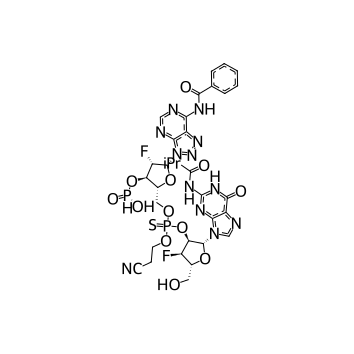 CC(C)C(=O)Nc1nc2c(ncn2[C@@H]2O[C@H](CO)[C@@H](F)[C@H]2OP(=S)(OCCC#N)OC[C@H]2O[C@@H](n3nnc4c(NC(=O)c5ccccc5)ncnc43)[C@@H](F)[C@@H]2O[PH](=O)O)c(=O)[nH]1